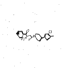 Cc1ccc(C2CCN(C(F)CC(N)C(=O)c3ccccc3)CC2)cc1Cl